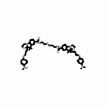 CNC1=CCC(/N=C/C=C/C23OCCN2c2ccc(C(=O)NCCSSCCNC(=O)c4ccc5c(c4)C(C)(C)C4(/C=C/C=N/c6ccc(N(C)C)cc6)OCCN54)cc2C3(C)C)C=C1